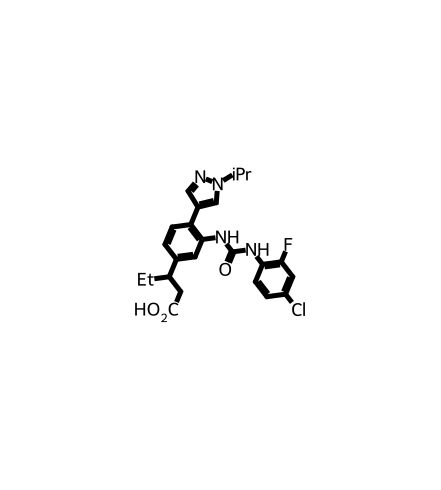 CCC(CC(=O)O)c1ccc(-c2cnn(C(C)C)c2)c(NC(=O)Nc2ccc(Cl)cc2F)c1